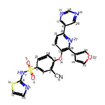 N#Cc1cc(S(=O)(=O)Nc2nccs2)ccc1Oc1ccc(-c2cncnc2)nc1-c1ccoc1